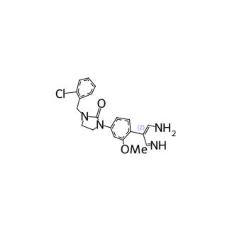 COc1cc(N2CCN(Cc3ccccc3Cl)C2=O)ccc1/C(C=N)=C/N